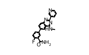 CNc1nc(-c2cccnc2)nc2ccc(-c3ccc(F)c(C(N)=O)c3)cc12